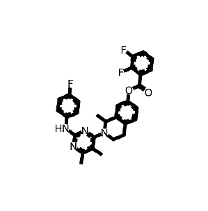 Cc1nc(Nc2ccc(F)cc2)nc(N2CCc3ccc(OC(=O)c4cccc(F)c4F)cc3C2C)c1C